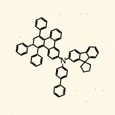 c1ccc(C2=c3c(c4ccc(N(c5ccc(-c6ccccc6)cc5)c5ccc6c(c5)C5(CCCC5)c5ccccc5-6)cc4c4ccccc34)=C(c3ccccc3)C(c3ccccc3)C2)cc1